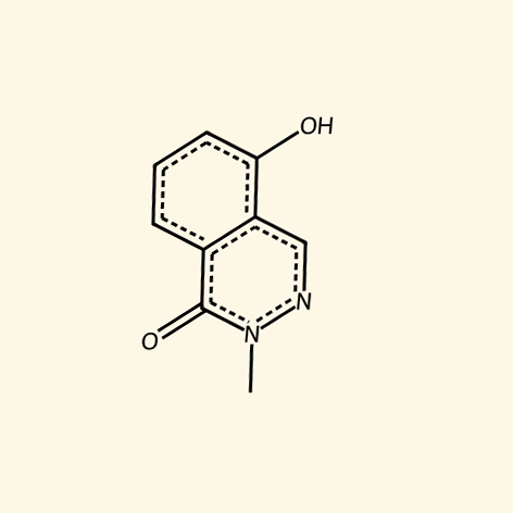 Cn1ncc2c(O)cccc2c1=O